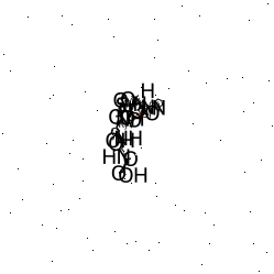 CCOC(=O)C(C)C[C@H](Cc1ccc(O)c(NC(=O)CCCNC(=O)C#CC(=O)O)c1)NC(=O)c1csc([C@@H](C[C@H](C(C)C)N(C)C(=O)[C@@H](NC(=O)[C@H]2CCCCN2C)[C@@H](C)CC)OC(C)=O)n1